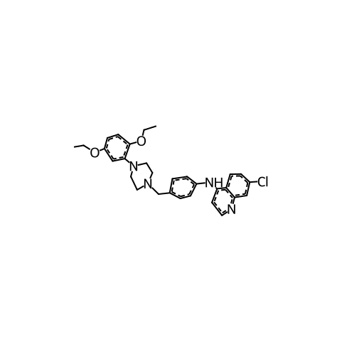 CCOc1ccc(OCC)c(N2CCN(Cc3ccc(Nc4ccnc5cc(Cl)ccc45)cc3)CC2)c1